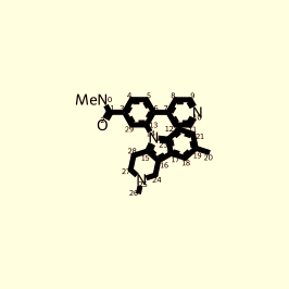 CNC(=O)c1ccc(-c2ccncc2)c(-n2c3c(c4cc(C)ccc42)CN(C)CC3)c1